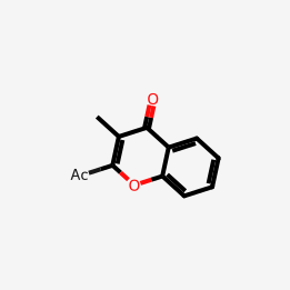 CC(=O)c1oc2ccccc2c(=O)c1C